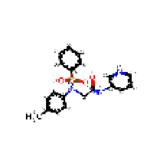 Cc1ccc(N(CC(=O)Nc2cccnc2)S(=O)(=O)c2ccccc2)cc1